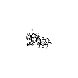 CCC(=O)OC1C(C)C2(O)C(C3OC3(CO)C(O)C3(O)C(=O)C(C)=CC32)C2C(C)(C)C12OC(=O)C(C)CC